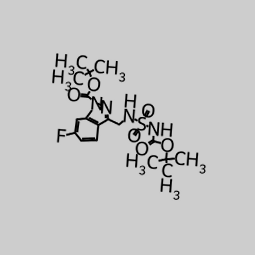 CC(C)(C)OC(=O)NS(=O)(=O)NCc1nn(C(=O)OC(C)(C)C)c2cc(F)ccc12